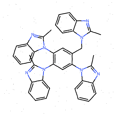 Cc1nc2ccccc2n1Cc1cc(-n2c(C)nc3ccccc32)c(-n2c(C)nc3ccccc32)cc1-n1c(C)nc2ccccc21